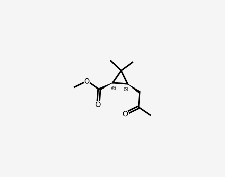 COC(=O)[C@@H]1[C@H](CC(C)=O)C1(C)C